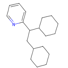 c1ccc(C(CC2CCCCC2)C2CCCCC2)nc1